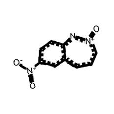 O=[N+]([O-])c1ccc2n[n+](=O)cccc2c1